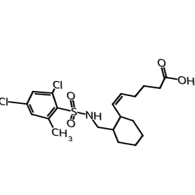 Cc1cc(Cl)cc(Cl)c1S(=O)(=O)NCC1CCCCC1/C=C\CCCC(=O)O